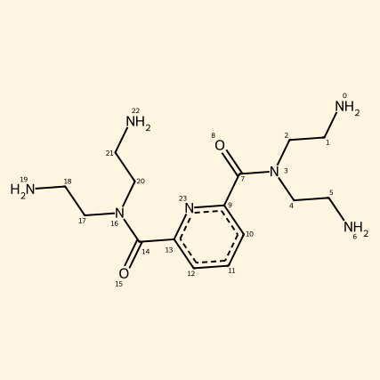 NCCN(CCN)C(=O)c1cccc(C(=O)N(CCN)CCN)n1